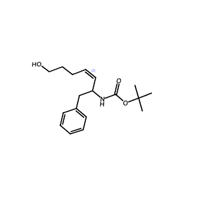 CC(C)(C)OC(=O)NC(/C=C\CCCO)Cc1ccccc1